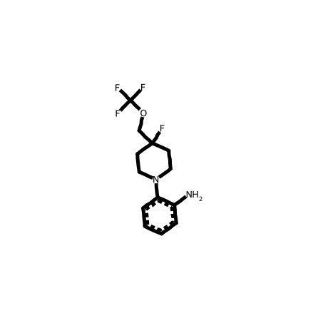 Nc1ccccc1N1CCC(F)(COC(F)(F)F)CC1